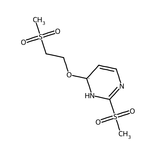 CS(=O)(=O)CCO[C]1C=CN=C(S(C)(=O)=O)N1